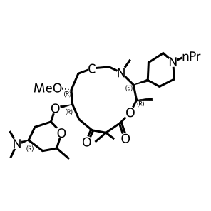 CCCN1CCC([C@H]2[C@@H](C)OC(=O)C(C)(C)C(=O)C[C@@H](OC3C[C@H](N(C)C)CC(C)O3)[C@H](OC)CCCN2C)CC1